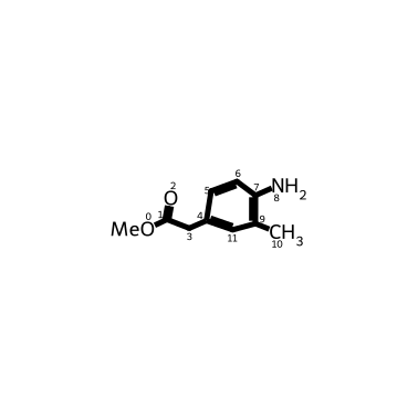 COC(=O)Cc1ccc(N)c(C)c1